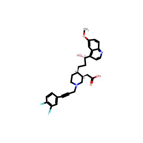 COc1ccc2nccc([C@@H](O)CC[C@@H]3CCN(CC#Cc4ccc(F)c(F)c4)C[C@@H]3CC(=O)O)c2c1